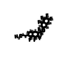 CCCc1ccc2cc(C(F)(F)Oc3cc(F)c4c(F)c(F)c(F)cc4c3)c(F)c(F)c2c1F